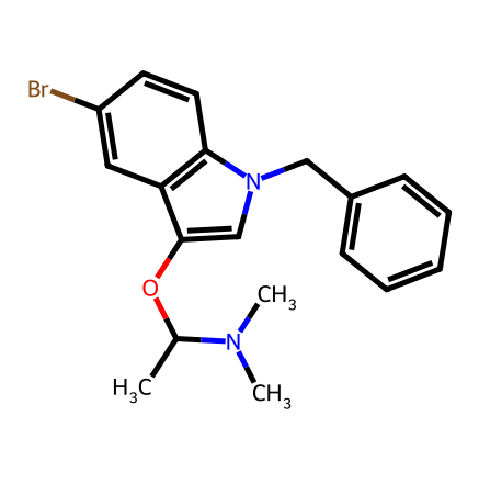 CC(Oc1cn(Cc2ccccc2)c2ccc(Br)cc12)N(C)C